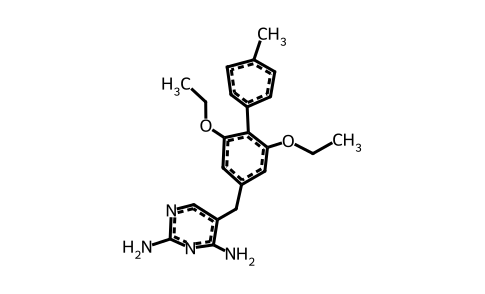 CCOc1cc(Cc2cnc(N)nc2N)cc(OCC)c1-c1ccc(C)cc1